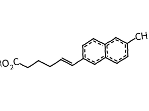 Cc1ccc2cc(C=CCCCC(=O)O)ccc2c1